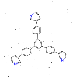 c1cncc(-c2ccc(-c3cc(-c4ccc(-c5cccnc5)cc4)cc(-c4ccc(-c5cccnc5)cc4)c3)cc2)c1